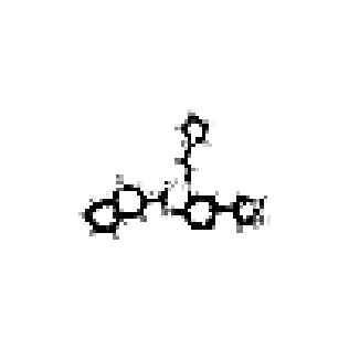 O=C(Nc1ccc(-c2cn[nH]c2)cc1OCCN1CCCC1)C1COc2ccccc2C1